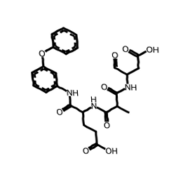 CC(C(=O)NC(C=O)CC(=O)O)C(=O)NC(CCC(=O)O)C(=O)Nc1cccc(Oc2ccccc2)c1